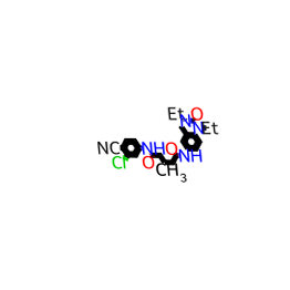 CCN1Cc2cc(NC(=O)CC(C)CC(=O)Nc3ccc(C#N)c(Cl)c3)ccc2N(CC)C1=O